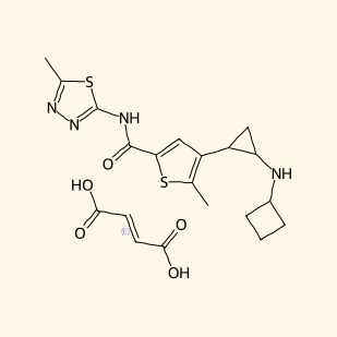 Cc1nnc(NC(=O)c2cc(C3CC3NC3CCC3)c(C)s2)s1.O=C(O)/C=C/C(=O)O